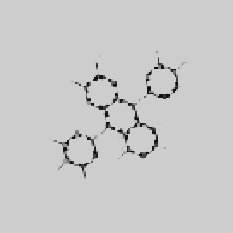 Fc1ccc(-c2c3cc(F)c(F)cc3c(-c3cc(F)c(F)c(F)c3)c3c(F)cccc23)cc1F